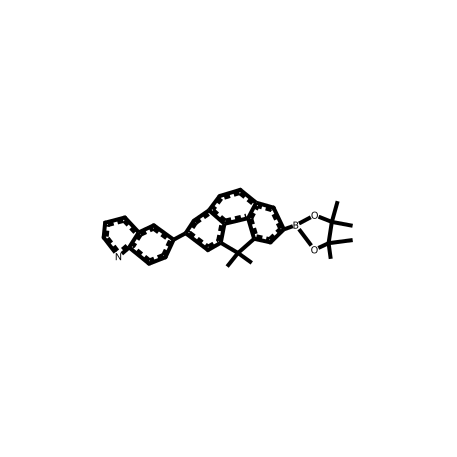 CC1(C)c2cc(B3OC(C)(C)C(C)(C)O3)cc3ccc4cc(-c5ccc6ncccc6c5)cc1c4c23